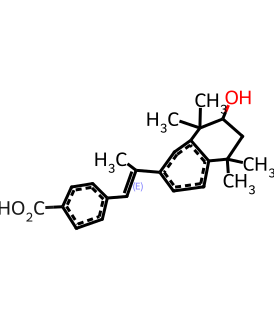 C/C(=C\c1ccc(C(=O)O)cc1)c1ccc2c(c1)C(C)(C)C(O)CC2(C)C